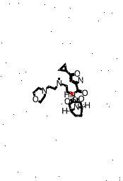 CN(CCCS(=O)(=O)N1[C@@H]2CC[C@H]1C[C@@H](NC(=O)c1cc(C3CC3)on1)C2)CCN1CCOCC1